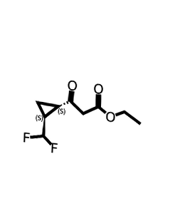 CCOC(=O)CC(=O)[C@H]1C[C@@H]1C(F)F